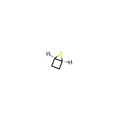 C1C[C@H]2S[C@@H]12